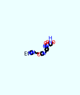 CCN1CCN(CCCOC2CCN(Cc3ccc4c(c3)n(C)c(=O)n4C3CCC(=O)NC3=O)CC2)CC1